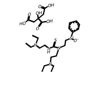 CCN(CC)CCNC(=S)N(CCN(CC)CC)CC[S+]([O-])c1ccccc1.O=C(O)CC(O)(CC(=O)O)C(=O)O